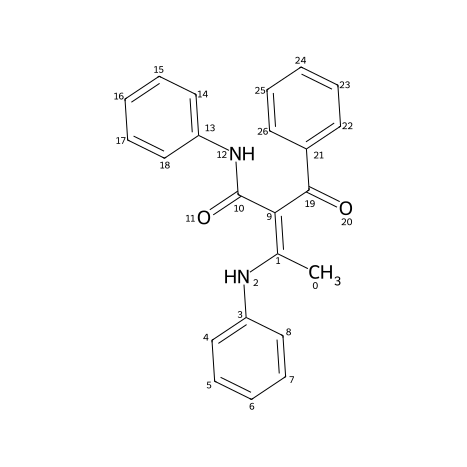 C/C(Nc1ccccc1)=C(/C(=O)Nc1ccccc1)C(=O)c1ccccc1